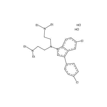 CCN(CC)CCN(CCN(CC)CC)n1cc(-c2ccc(Cl)cc2)c2cc(Cl)ccc21.Cl.Cl